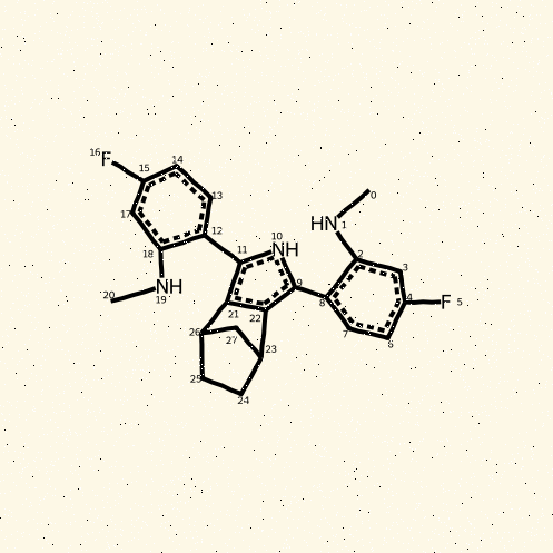 CNc1cc(F)ccc1-c1[nH]c(-c2ccc(F)cc2NC)c2c1C1CCC2C1